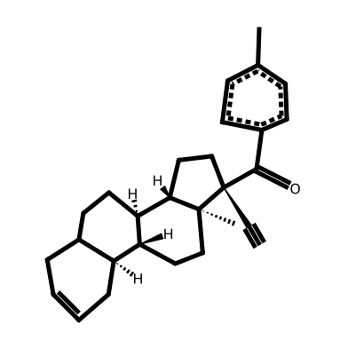 C#C[C@]1(C(=O)c2ccc(C)cc2)CC[C@H]2[C@@H]3CCC4CC=CC[C@@H]4[C@H]3CC[C@@]21C